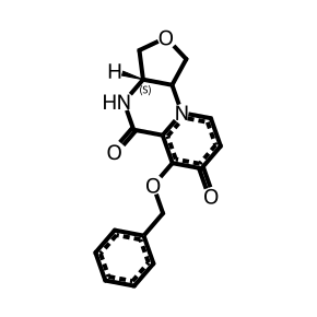 O=C1N[C@@H]2COCC2n2ccc(=O)c(OCc3ccccc3)c21